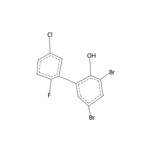 Oc1c(Br)cc(Br)cc1-c1cc(Cl)ccc1F